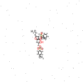 C=CC[C@@H]1O[C@H](C[C@H](O)COS(=O)(=O)c2ccc(C)cc2)[C@H](OC)[C@H]1CS(=O)(=O)c1ccccc1